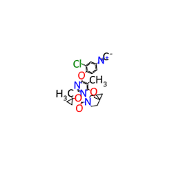 [C-]#[N+]c1ccc(Oc2ncnc(OCC34CCN(C(=O)OC5(C)CC5)CC3C4)c2C)c(Cl)c1